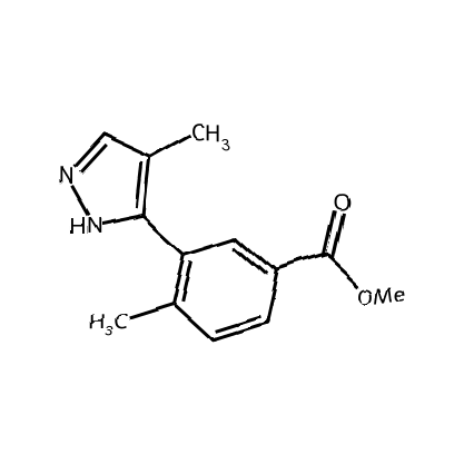 COC(=O)c1ccc(C)c(-c2[nH]ncc2C)c1